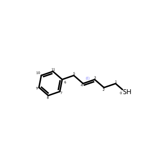 SCC/C=C/Cc1ccccc1